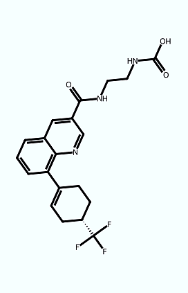 O=C(O)NCCNC(=O)c1cnc2c(C3=CC[C@@H](C(F)(F)F)CC3)cccc2c1